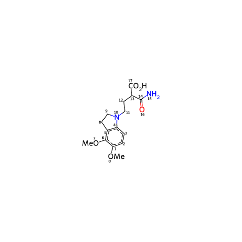 COc1ccc2c(c1OC)CCN2CCC(C(N)=O)C(=O)O